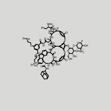 CCNCCOCc1cc(OCCNCC)cc(C(=O)NC(=O)C[C@@H]2NC(=O)[C@H](NC(=O)[C@@H](CC(C)C)NC)[C@H](O)c3ccc(c(Cl)c3)Oc3cc4cc(c3O[C@@H]3O[C@H](CO)[C@@H](O)[C@H](O)[C@H]3O[C@H]3C[C@](C)(N)[C@H](O)[C@H](C)O3)Oc3ccc(cc3Cl)[C@@H](O)[C@@H]3NC(=O)[C@H](NC(=O)[C@@H]4NC2=O)c2ccc4c(c2)-c2c(cc(O)cc2C4(O)O)[C@@H](C(=O)NC2C4CC5CC(C4)CC2C5)NC3=O)c1